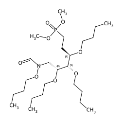 CCCCO[C@@H]([C@@H](CCP(=O)(OC)OC)OCCCC)[C@@H](CN(C=O)OCCCC)OCCCC